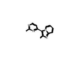 Cc1nccc(-c2c(C)nc3ccccn23)n1